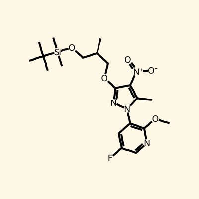 COc1ncc(F)cc1-n1nc(OC[C@H](C)CO[Si](C)(C)C(C)(C)C)c([N+](=O)[O-])c1C